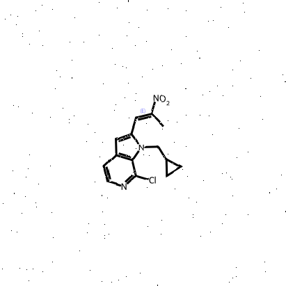 C/C(=C\c1cc2ccnc(Cl)c2n1CC1CC1)[N+](=O)[O-]